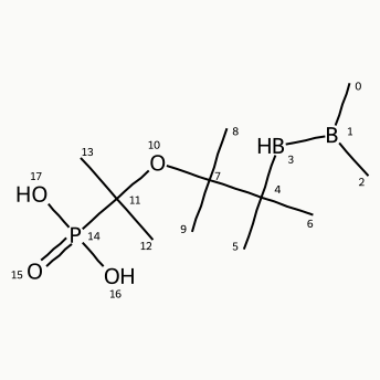 CB(C)BC(C)(C)C(C)(C)OC(C)(C)P(=O)(O)O